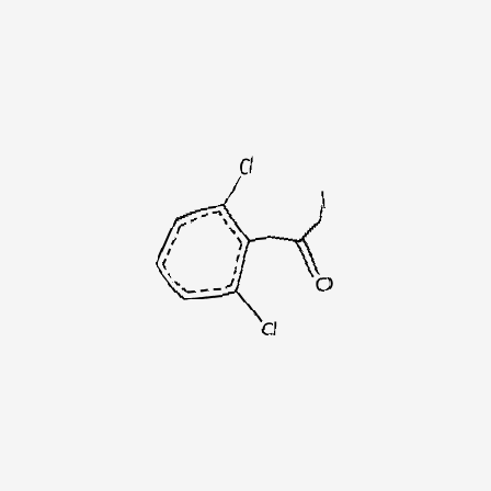 O=C(I)c1c(Cl)cccc1Cl